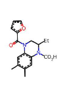 CCC1CN(C(=O)c2ccco2)c2cc(C)c(C)cc2N1C(=O)O